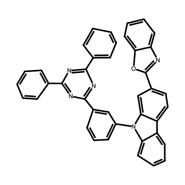 c1ccc(-c2nc(-c3ccccc3)nc(-c3cccc(-n4c5ccccc5c5ccc(-c6nc7ccccc7o6)cc54)c3)n2)cc1